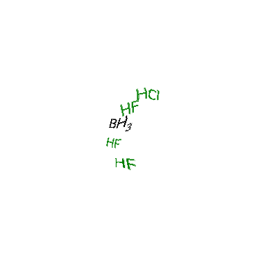 B.Cl.F.F.F